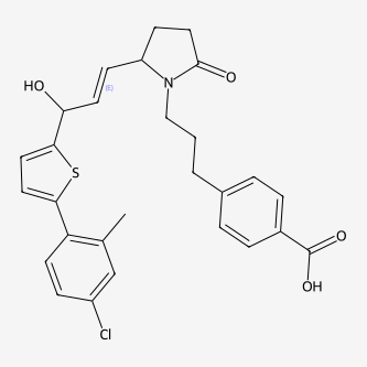 Cc1cc(Cl)ccc1-c1ccc(C(O)/C=C/C2CCC(=O)N2CCCc2ccc(C(=O)O)cc2)s1